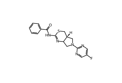 O=C(NC1=NC2CN(c3ncc(F)cn3)C[C@H]2CS1)c1ccccc1